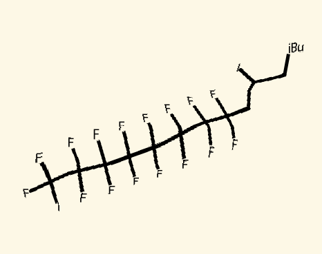 CCC(C)CC(I)CC(F)(F)C(F)(F)C(F)(F)C(F)(F)C(F)(F)C(F)(F)C(F)(F)C(F)(F)I